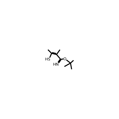 C/C(S)=C(\C)C(=N)OC(C)(C)C